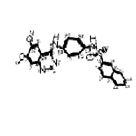 COc1cc2ncnc(Nc3ccc(NS(=O)(=O)c4ccc5ccccc5c4)cc3)c2cc1OC